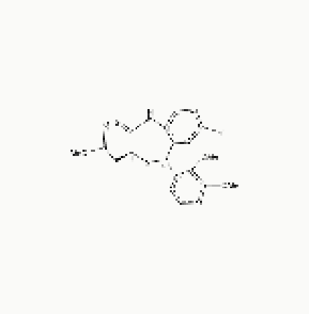 COC(=O)C[C@@H]1S[C@@H](c2cccc(OC)c2OC)c2cc(Cl)ccc2NC1=S